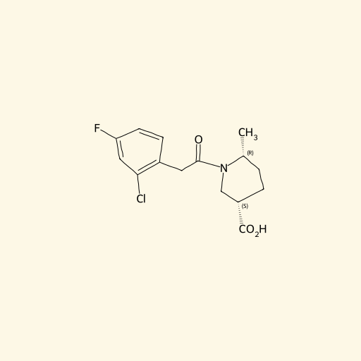 C[C@@H]1CC[C@H](C(=O)O)CN1C(=O)Cc1ccc(F)cc1Cl